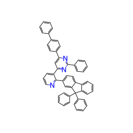 c1ccc(-c2ccc(-c3cc(-c4cccnc4-c4ccc5c(c4)C(c4ccccc4)(c4ccccc4)c4ccccc4-5)nc(-c4ccccc4)n3)cc2)cc1